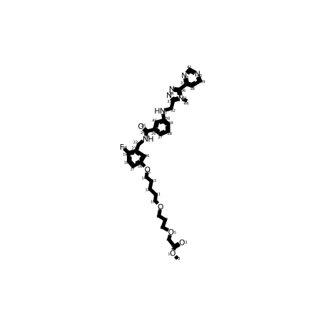 COC(=O)COCCCOCCCCCOc1ccc(F)c(CNC(=O)c2cccc(NCc3nnc(-c4ccncn4)n3C)c2)c1